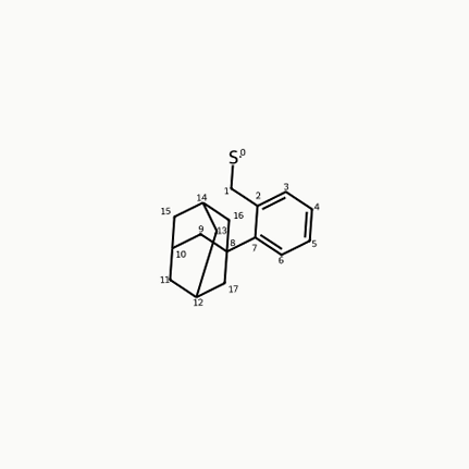 [S]Cc1ccccc1C12CC3CC(CC(C3)C1)C2